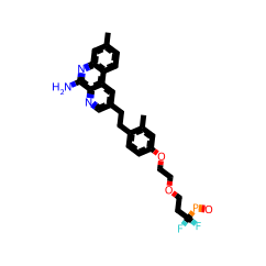 Cc1ccc2c(c1)nc(N)c1ncc(CCc3ccc(OCCOCCC(F)(F)P=O)cc3C)cc12